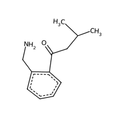 CC(C)CC(=O)c1ccccc1CN